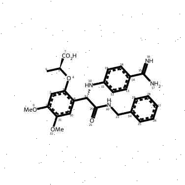 COc1cc(O[C@@H](C)C(=O)O)c([C@H](Nc2ccc(C(=N)N)cc2)C(=O)NCc2ccccc2)cc1OC